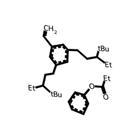 C=Cc1cc(CCC(CC)C(C)(C)C)cc(CCC(CC)C(C)(C)C)c1.CCC(=O)Oc1ccccc1